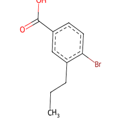 CCCc1cc(C(=O)O)ccc1Br